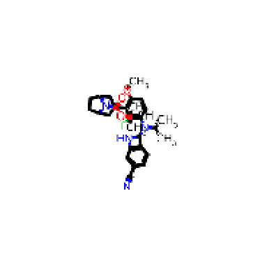 COc1ccc(N(C(C)C)C2Nc3cc(C#N)ccc32)c(F)c1C1CC2CCC(C1)N2C(=O)OC(C)(C)C